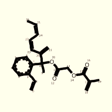 C=Cc1ccccc1C(C)(OC(=O)COC(=O)C(=C)C)C(=C)/C=C\C=C/C